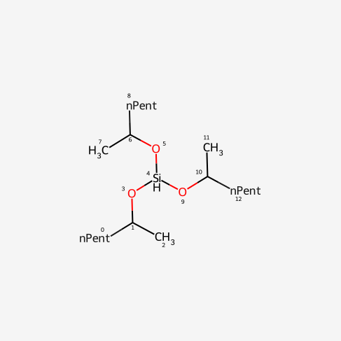 CCCCCC(C)O[SiH](OC(C)CCCCC)OC(C)CCCCC